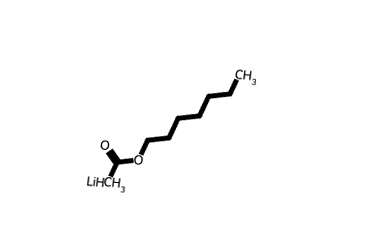 CCCCCCCOC(C)=O.[LiH]